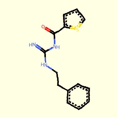 N=C(NCCc1ccccc1)NC(=O)c1cccs1